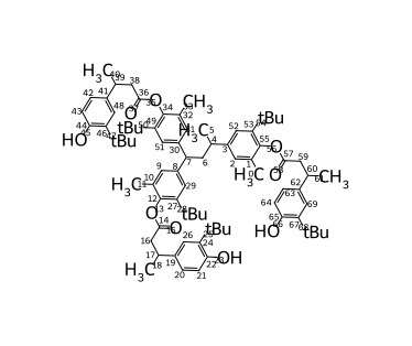 Cc1cc(C(C)CC(c2cc(C)c(OC(=O)CC(C)c3ccc(O)c(C(C)(C)C)c3)c(C(C)(C)C)c2)c2cc(C)c(OC(=O)CC(C)c3ccc(O)c(C(C)(C)C)c3)c(C(C)(C)C)c2)cc(C(C)(C)C)c1OC(=O)CC(C)c1ccc(O)c(C(C)(C)C)c1